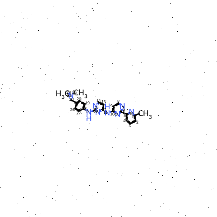 Cc1cccc(-c2nccc(Nc3ccnc(Nc4ccc(CN(C)C)cc4)n3)n2)n1